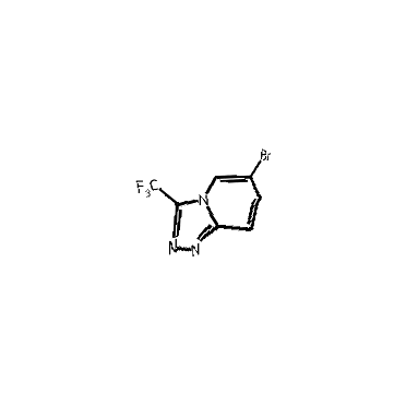 FC(F)(F)c1nnc2ccc(Br)cn12